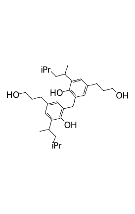 CC(C)CC(C)c1cc(CCCO)cc(Cc2cc(CCCO)cc(C(C)CC(C)C)c2O)c1O